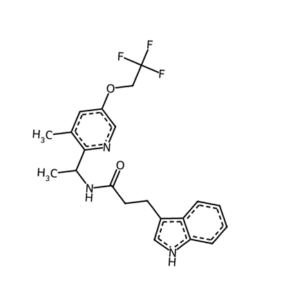 Cc1cc(OCC(F)(F)F)cnc1C(C)NC(=O)CCc1c[nH]c2ccccc12